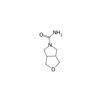 NC(=O)N1CC2COCC2C1